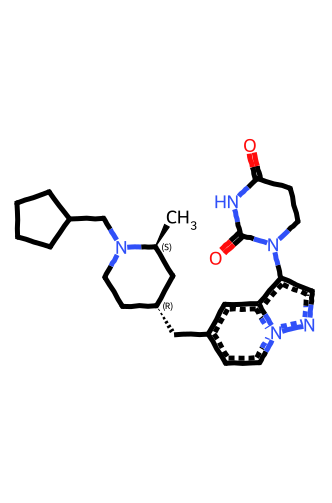 C[C@H]1C[C@H](Cc2ccn3ncc(N4CCC(=O)NC4=O)c3c2)CCN1CC1CCCC1